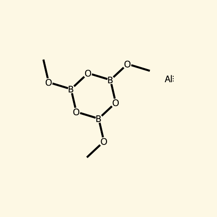 COB1OB(OC)OB(OC)O1.[Al]